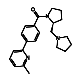 Cc1cccc(-c2ccc(C(=O)N3CCC[C@H]3CN3CCCC3)cc2)n1